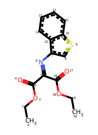 CCOC(=O)C(=Nc1csc2ccccc12)C(=O)OCC